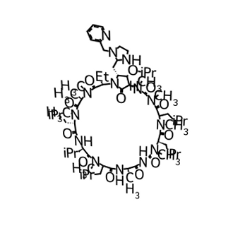 CC[C@@H]1C(=O)N(C)[C@H](C)C(=O)N(C)[C@@H](CC(C)C)C(=O)N[C@H](C(C)C)C(=O)N(C)C(CC(C)C)C(=O)N[C@H](C)C(=O)NC(=O)N(C)[C@H](CC(C)C)C(=O)N(C)C(CC(C)C)C(=O)N(C)C(=O)N(C)[C@@H]2C(=O)N1[C@H](CC1NCCN1Cc1ccccn1)[C@H]2OC(C)C